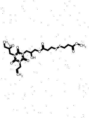 C=CCn1c(=O)n(CC(O)CC)c(=O)n(CC(O)COC(=O)CCSSCCC(=O)OC)c1=O